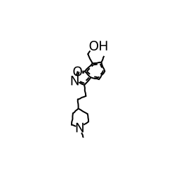 Cc1ccc2c(CCC3CCN(C)CC3)noc2c1CO